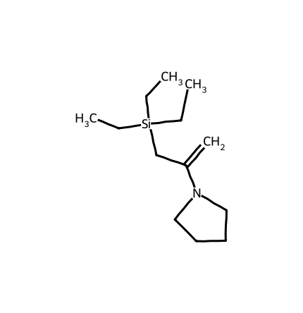 C=C(C[Si](CC)(CC)CC)N1CCCC1